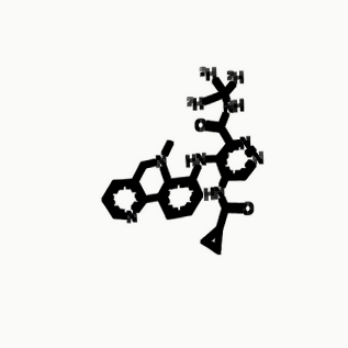 [2H]C([2H])([2H])NC(=O)c1nncc(NC(=O)C2CC2)c1Nc1cccc2c1N(C)Cc1cccnc1-2